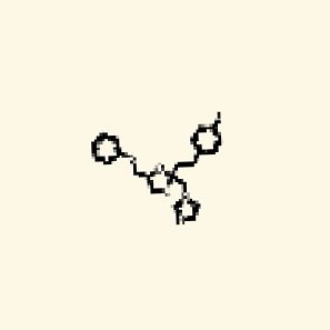 Fc1ccc(CCC2(Cn3ccnc3)OCC(CSc3ccccc3)O2)cc1